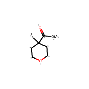 CCC1(C(=O)OC)CCOCC1